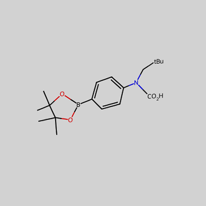 CC(C)(C)CN(C(=O)O)c1ccc(B2OC(C)(C)C(C)(C)O2)cc1